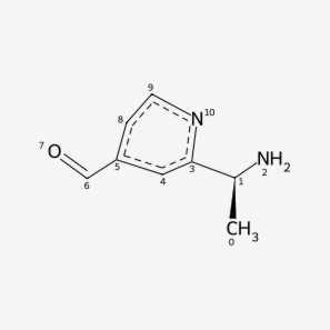 C[C@H](N)c1cc(C=O)ccn1